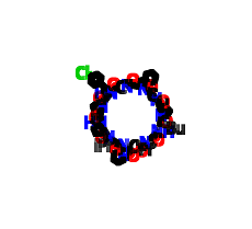 CC[C@H](C)[C@@H]1NC(=O)[C@H](CC(C)C)N(C)C(=O)C[C@@H](C(=O)N2CCCCC2)N(C)C(=O)[C@H](C(C)C)N(C)C(=O)C2(CCCC2)NC(=O)[C@@H]2CCCN2C(=O)[C@H](CCc2ccc(Cl)cc2)NC(=O)CN(C)C(=O)[C@H](CC2CCCCC2)N(C)C(=O)CN(C)C(=O)[C@@H]2CCCN2C1=O